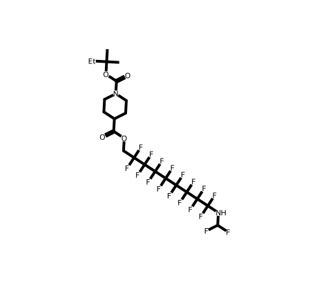 CCC(C)(C)OC(=O)N1CCC(C(=O)OCC(F)(F)C(F)(F)C(F)(F)C(F)(F)C(F)(F)C(F)(F)C(F)(F)C(F)(F)NC(F)F)CC1